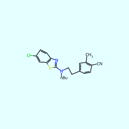 CCCCN(CCc1ccc(C#N)c(C)c1)c1nc2ccc(Cl)cc2s1